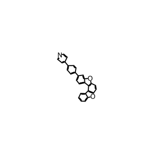 c1ccc2c(c1)oc1ccc3oc4cc(-c5ccc(-c6ccncc6)cc5)ccc4c3c12